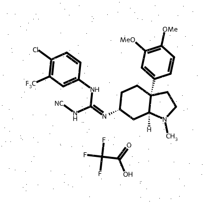 COc1ccc([C@@]23CC[C@@H](N=C(NC#N)Nc4ccc(Cl)c(C(F)(F)F)c4)C[C@@H]2N(C)CC3)cc1OC.O=C(O)C(F)(F)F